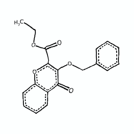 CCOC(=O)c1oc2ccccc2c(=O)c1OCc1ccccc1